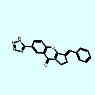 O=c1c2c(oc3ccc(-c4nnn[nH]4)cc13)/C(=C/c1ccccc1)CC2